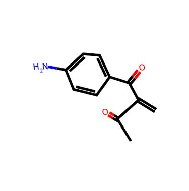 C=C(C(C)=O)C(=O)c1ccc(N)cc1